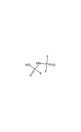 O=P(O)(F)NP(=O)(F)F